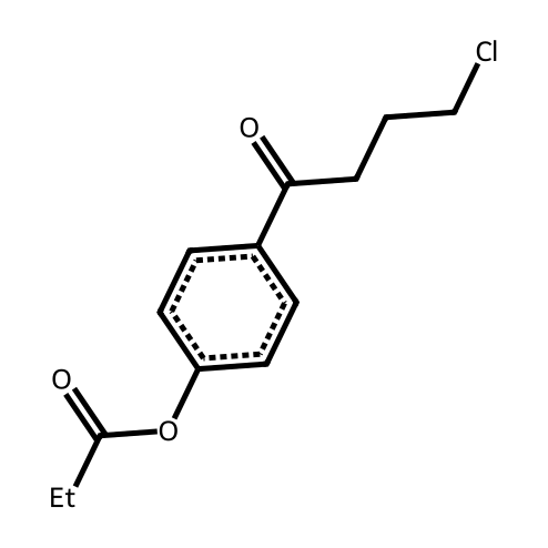 CCC(=O)Oc1ccc(C(=O)CCCCl)cc1